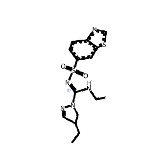 CCN/C(=N\S(=O)(=O)c1ccc2ncsc2c1)N1CC(CC)C=N1